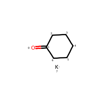 O=C1CCCCC1.[K]